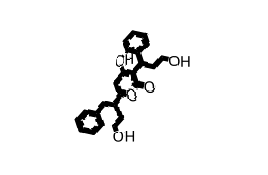 O=c1oc(C(CCO)Cc2ccccc2)cc(O)c1C(CCO)c1ccccc1